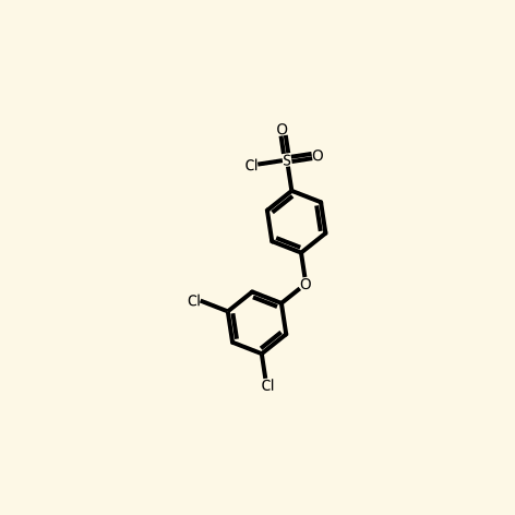 O=S(=O)(Cl)c1ccc(Oc2cc(Cl)cc(Cl)c2)cc1